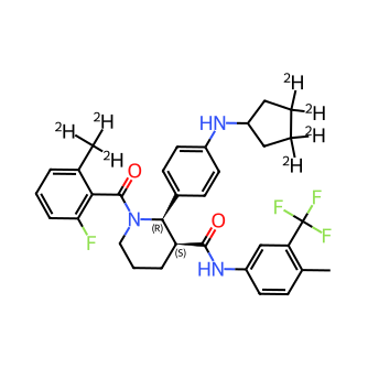 [2H]C([2H])([2H])c1cccc(F)c1C(=O)N1CCC[C@H](C(=O)Nc2ccc(C)c(C(F)(F)F)c2)[C@@H]1c1ccc(NC2CC([2H])([2H])C([2H])([2H])C2)cc1